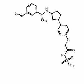 CCOc1cccc([C@@H](C)NC2CC[C@@H](c3ccc(OCC(=O)NS(C)(=O)=O)cc3)C2)c1